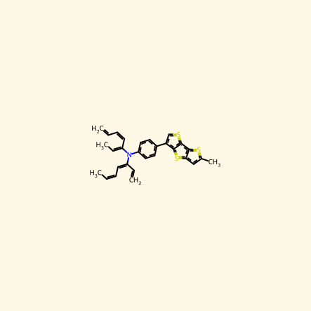 C=C/C=C\C(=C/C)N(/C(C=C)=C/C=C\C)c1ccc(-c2csc3c2sc2cc(C)sc23)cc1